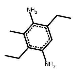 CCc1cc(N)c(CC)c(C)c1N